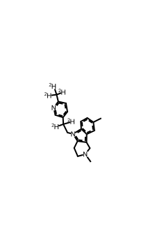 [2H]C([2H])([2H])c1ccc(C([2H])([2H])Cn2c3c(c4cc(C)ccc42)CN(C)CC3)cn1